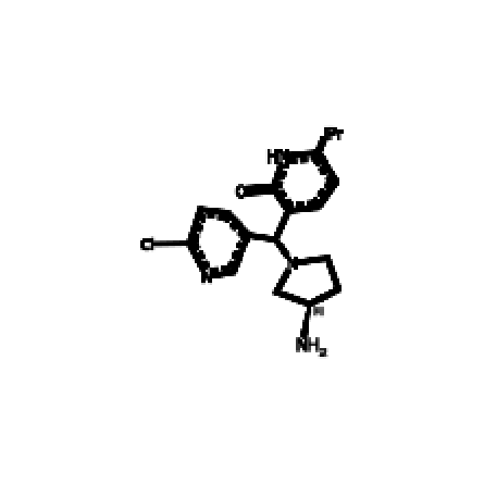 CC(C)c1ccc(C(c2ccc(Cl)nc2)N2CC[C@@H](N)C2)c(=O)[nH]1